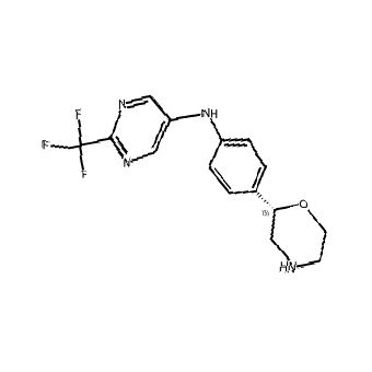 FC(F)(F)c1ncc(Nc2ccc([C@H]3CNCCO3)cc2)cn1